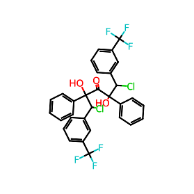 O=C(C(O)(c1ccccc1)C(Cl)c1cccc(C(F)(F)F)c1)C(O)(c1ccccc1)C(Cl)c1cccc(C(F)(F)F)c1